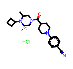 CC1CN(C(=O)C2CCN(c3ccc(C#N)cc3)CC2)C[C@H](C)N1C1CCC1.Cl